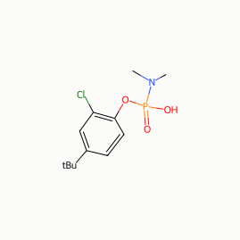 CN(C)P(=O)(O)Oc1ccc(C(C)(C)C)cc1Cl